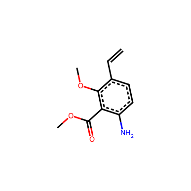 C=Cc1ccc(N)c(C(=O)OC)c1OC